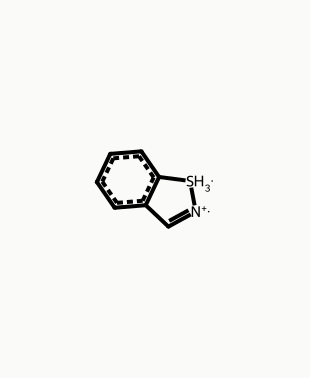 C1=[N+][SH3]c2ccccc21